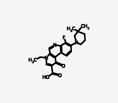 CCn1cc(C(=O)O)c(=O)c2c3ccc(N4CCCC(C)(C)C4)c(F)c3ncc21